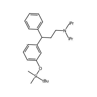 CC(C)N(CCC(c1[c]ccc(O[Si](C)(C)C(C)(C)C)c1)c1ccccc1)C(C)C